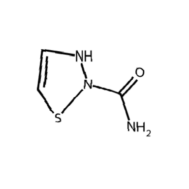 NC(=O)N1NC=CS1